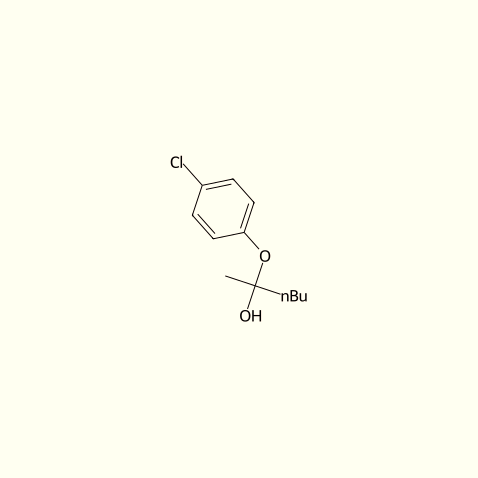 CCCCC(C)(O)Oc1ccc(Cl)cc1